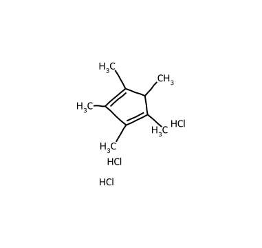 CC1=C(C)C(C)C(C)=C1C.Cl.Cl.Cl